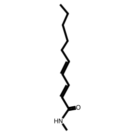 CCCCCC=CC=CC(=O)NC